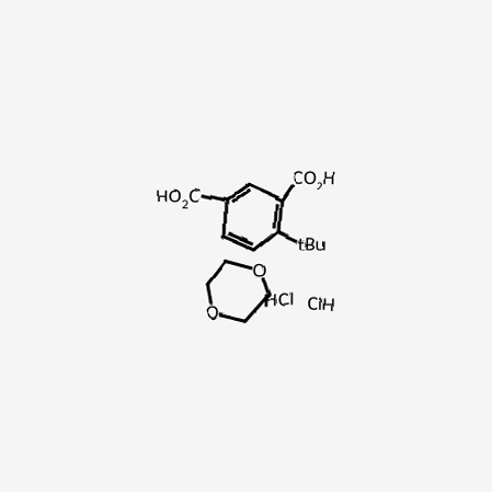 C1COCCO1.CC(C)(C)c1ccc(C(=O)O)cc1C(=O)O.Cl.Cl